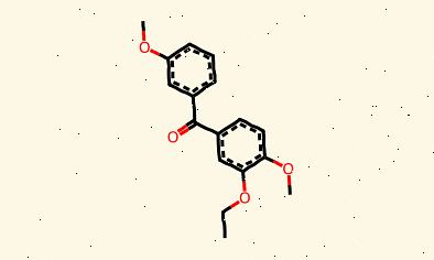 CCOc1cc(C(=O)c2cccc(OC)c2)ccc1OC